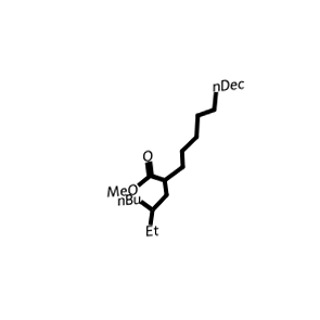 CCCCCCCCCCCCCCCC(CC(CC)CCCC)C(=O)OC